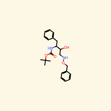 CC(C)(C)OC(=O)NC(Cc1ccccc1)C(O)CNOCc1ccccc1